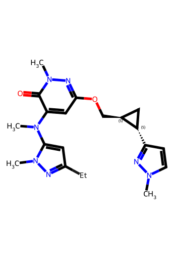 CCc1cc(N(C)c2cc(OC[C@H]3C[C@@H]3c3ccn(C)n3)nn(C)c2=O)n(C)n1